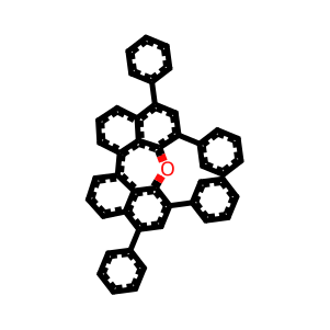 c1ccc(-c2cc(-c3ccccc3)c3oc4c(-c5ccccc5)cc(-c5ccccc5)c5cccc(c6cccc2c36)c54)cc1